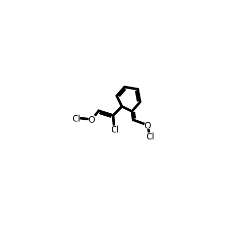 ClOC=C(Cl)C1C=CC=CC1=COCl